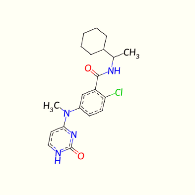 CC(NC(=O)c1cc(N(C)c2cc[nH]c(=O)n2)ccc1Cl)C1CCCCC1